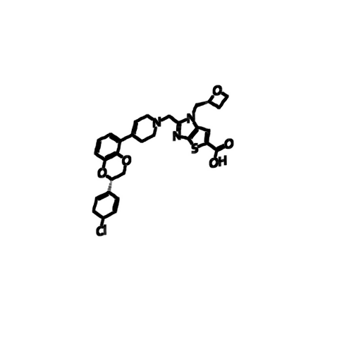 O=C(O)c1cc2c(nc(CN3CC=C(c4cccc5c4OC[C@H](C4=CCC(Cl)C=C4)O5)CC3)n2C[C@@H]2CCO2)s1